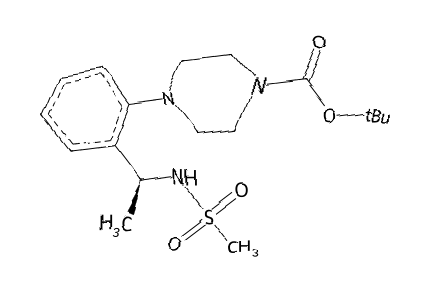 C[C@H](NS(C)(=O)=O)c1ccccc1N1CCN(C(=O)OC(C)(C)C)CC1